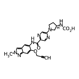 C#CCOc1cc2nn(C)cc2cc1NC(=O)c1cnc(N2CC[C@@H](NC(=O)O)C2)cn1